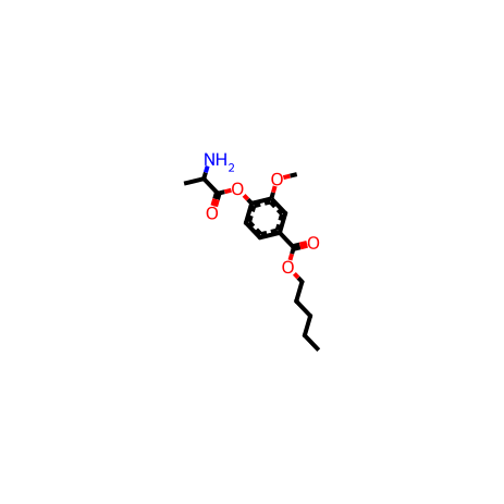 CCCCCOC(=O)c1ccc(OC(=O)C(C)N)c(OC)c1